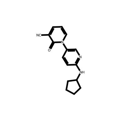 N#Cc1cccn(-c2ccc(NC3CCCC3)nc2)c1=O